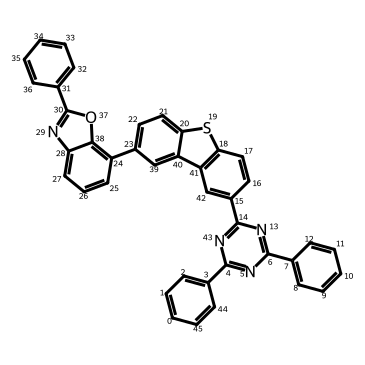 c1ccc(-c2nc(-c3ccccc3)nc(-c3ccc4sc5ccc(-c6cccc7nc(-c8ccccc8)oc67)cc5c4c3)n2)cc1